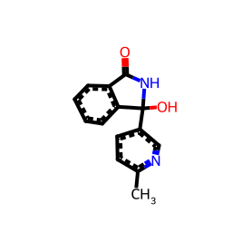 Cc1ccc(C2(O)NC(=O)c3ccccc32)cn1